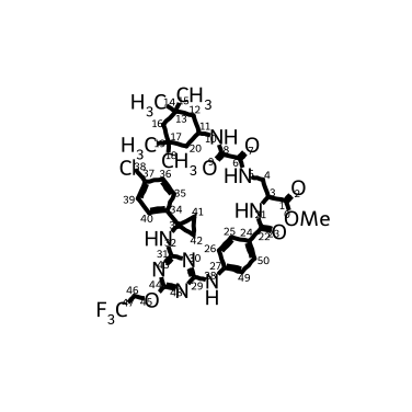 COC(=O)C(CNC(=O)C(=O)NC1CC(C)(C)CC(C)(C)C1)NC(=O)c1ccc(Nc2nc(NC3(c4ccc(Cl)cc4)CC3)nc(OCC(F)(F)F)n2)cc1